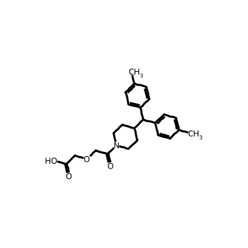 Cc1ccc(C(c2ccc(C)cc2)C2CCN(C(=O)COCC(=O)O)CC2)cc1